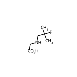 CC(C)(F)CNCC(=O)O